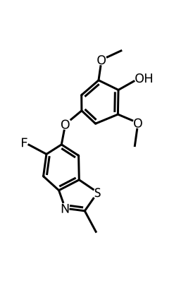 COc1cc(Oc2cc3sc(C)nc3cc2F)cc(OC)c1O